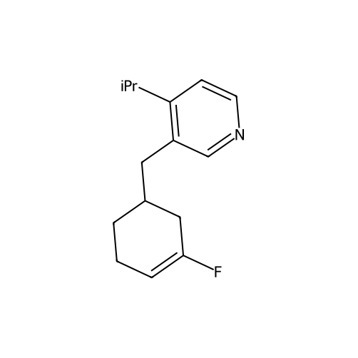 CC(C)c1ccncc1CC1CCC=C(F)C1